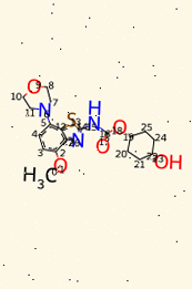 COc1ccc(N2CCOCC2)c2sc(NC(=O)O[C@H]3CC[C@@H](O)CC3)nc12